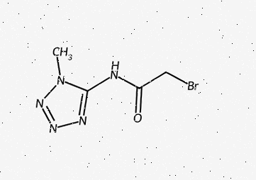 Cn1nnnc1NC(=O)CBr